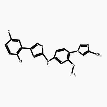 COc1cc(Nc2nc(-c3cc(Cl)ccc3Cl)cs2)ccc1-n1cnc(C)c1